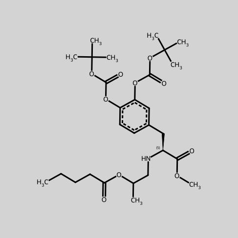 CCCCC(=O)OC(C)CN[C@@H](Cc1ccc(OC(=O)OC(C)(C)C)c(OC(=O)OC(C)(C)C)c1)C(=O)OC